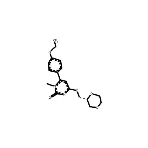 Cn1c(-c2ccc(OCC(F)(F)F)cc2)cc(OC[C@H]2COCCO2)nc1=O